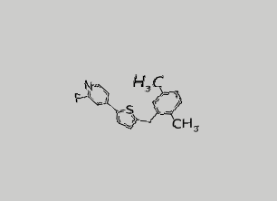 Cc1ccc(C)c(Cc2ccc(-c3ccnc(F)c3)s2)c1